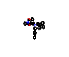 c1ccc(-c2ccc(-c3ccc(N(c4ccc5c(c4)-c4ccccc4C54c5ccccc5-n5c6ccccc6c6cccc4c65)c4ccc5c(c4)C4(c6ccccc6-c6ccccc64)c4ccccc4-5)cc3)cc2)cc1